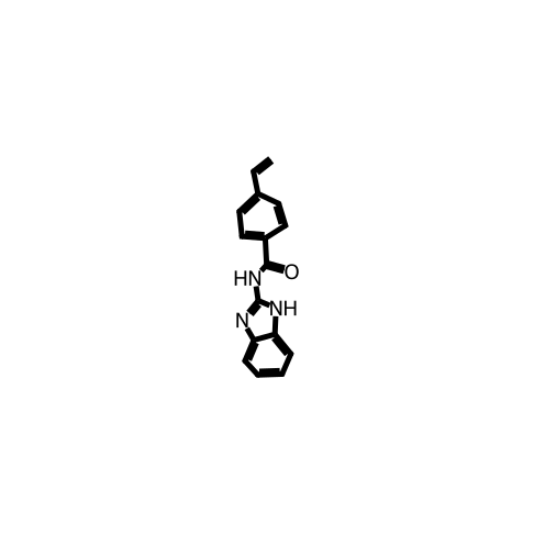 C=Cc1ccc(C(=O)Nc2nc3ccccc3[nH]2)cc1